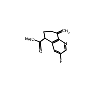 C=C1CCC(C(=O)OC)c2cc(F)cnc21